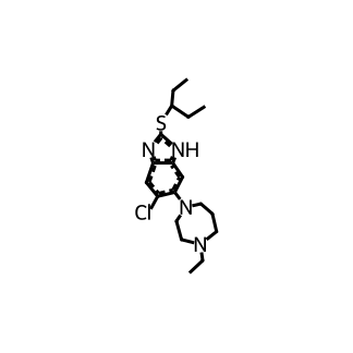 CCC(CC)Sc1nc2cc(Cl)c(N3CCCN(CC)CC3)cc2[nH]1